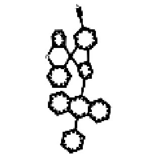 N#Cc1ccc2c(c1)C1(c3ccccc3Oc3ccccc31)c1cc(-c3c4ccccc4c(-c4ccccc4)c4ccccc34)ccc1-2